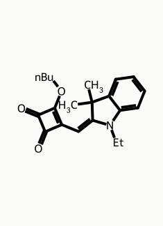 CCCCOc1c(C=C2N(CC)c3ccccc3C2(C)C)c(=O)c1=O